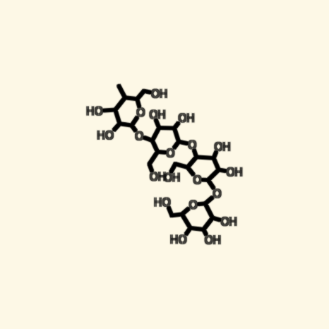 CC1C(CO)OC(OC2C(CO)OC(OC3C(CO)OC(OC4OC(CO)C(O)C(O)C4O)C(O)C3O)C(O)C2O)C(O)C1O